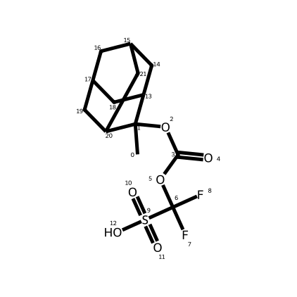 CC1(OC(=O)OC(F)(F)S(=O)(=O)O)C2CC3CC(C2)CC1C3